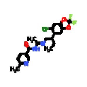 C=C/C(=C\N=C(/C)NC(=O)c1ccc(C)nc1)c1cc2c(cc1Cl)OC(F)(F)O2